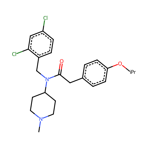 CC(C)Oc1ccc(CC(=O)N(Cc2ccc(Cl)cc2Cl)C2CCN(C)CC2)cc1